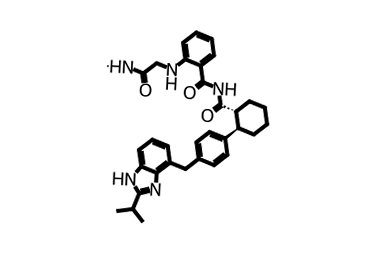 CC(C)c1nc2c(Cc3ccc([C@@H]4CCCC[C@H]4C(=O)NC(=O)c4ccccc4NCC([NH])=O)cc3)cccc2[nH]1